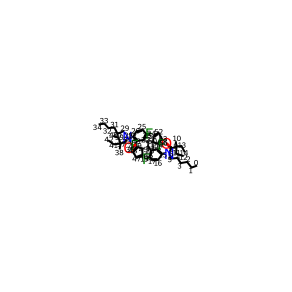 CCCCCCN(C(=O)C(C)(CC)CC)c1ccc(F)[c]([Ti]([c]2c(F)ccc(N(CCCCCC)C(=O)C(C)(CC)CC)c2F)([CH]2C=CC=C2)[CH]2C=CC=C2)c1F